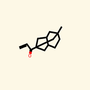 C=CC(=O)C12CC3CCC(C)(CC3C1)C2